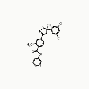 Cc1cc(C2=NOC(C)(c3cc(Cl)cc(Cl)c3)C2)ccc1C(=O)Nc1cncnc1